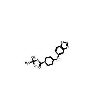 CC(C)(C)OC(=O)N1CCC(Nc2ccc3[nH]nnc3c2)CC1